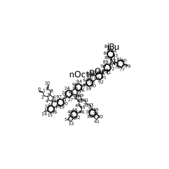 C=CCCCC1(CCCC=C)c2cc(C)ccc2-c2ccc(-c3ccc4c(c3)C(CCCCCc3ccc5c(c3)CC5)(CCCCCc3ccc5c(c3)CC5)c3cc(-c5ccc6c(c5)C(CCCCCCCC)(CCCCCCCC)c5cc(-c7ccc(N(c8ccc(C)cc8)c8ccc(C(C)CC)cc8)cc7)ccc5-6)ccc3-4)cc21